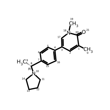 Cc1cc(-c2ccc([C@@H](C)N3CCCC3)cc2)cn(C)c1=O